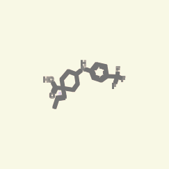 C/C=C/C1(C(=O)O)CCC(Nc2ccc(C(F)(F)F)cc2)CC1